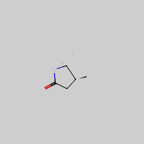 C[C@H]1NC(=O)C[C@@H]1C(=O)O